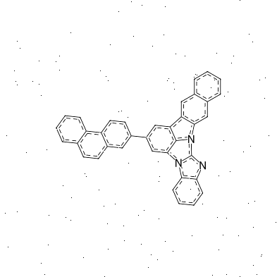 c1ccc2cc3c(cc2c1)c1cc(-c2ccc4c(ccc5ccccc54)c2)cc2c1n3c1nc3ccccc3n21